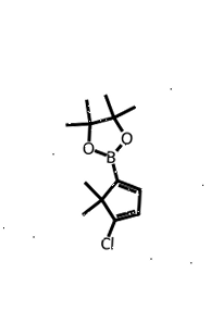 CC1(C)C(Cl)=CC=C1B1OC(C)(C)C(C)(C)O1